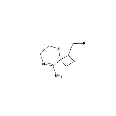 NC1=NCCSC12CCC2CF